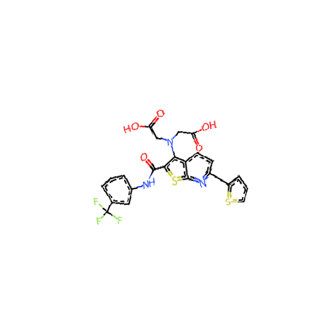 O=C(O)CN(CC(=O)O)c1c(C(=O)Nc2cccc(C(F)(F)F)c2)sc2nc(-c3cccs3)ccc12